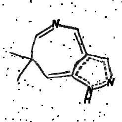 CC1(C)C=NC=c2cn[nH]c2=C1